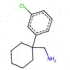 NCC1(c2cccc(Cl)c2)[CH]CCCC1